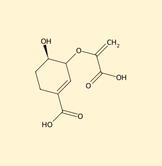 C=C(OC1C=C(C(=O)O)CC[C@H]1O)C(=O)O